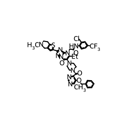 CCc1c(N2CCN(C(=O)c3ncnc(C)c3OCc3ccccc3)CC2)c(=O)n2nc(-c3cc4c(s3)CCN(C)C4)nc2n1CC(=O)Nc1ccc(C(F)(F)F)cc1Cl